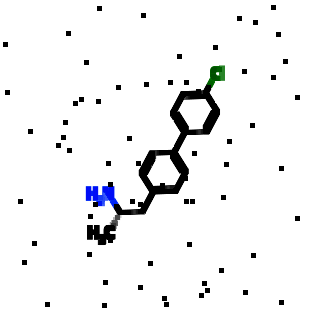 C[C@H](N)Cc1ccc(-c2ccc(Cl)cc2)cc1